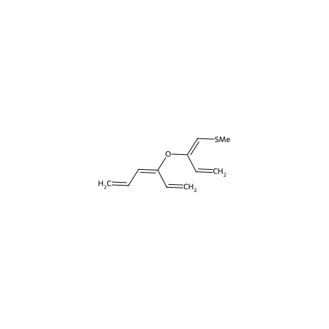 C=C/C=C(\C=C)O/C(C=C)=C/SC